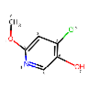 COc1cc(Cl)c(O)cn1